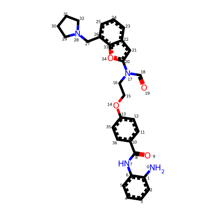 Nc1ccccc1NC(=O)c1ccc(OCCN(C=O)c2cc3cccc(CN4CCCC4)c3o2)cc1